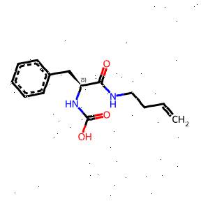 C=CCCNC(=O)[C@H](Cc1ccccc1)NC(=O)O